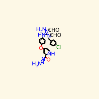 NN=NC(=O)C1C=C(Oc2ccc(NC(N(N)C=O)N(C=O)Cc3ccc(Cl)cc3)cc2)C=CN1